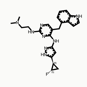 CN(C)CCNc1ncc(Cc2cccc3[nH]ccc23)c(Nc2cc([C@H]3C[C@@H]3F)[nH]n2)n1